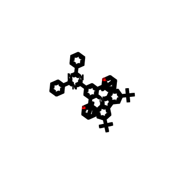 CC(C)(C)c1cc(C(C)(C)C)c2c(c1)c1cc(C(C)(C)C)cc(C(C)(C)C)c1n2-c1c(-c2ccccc2)cc(-c2nc(-c3ccccc3)nc(-c3ccccc3)n2)cc1-c1ccccc1